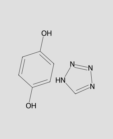 Oc1ccc(O)cc1.c1nnn[nH]1